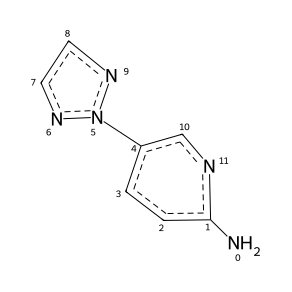 Nc1ccc(-n2nccn2)cn1